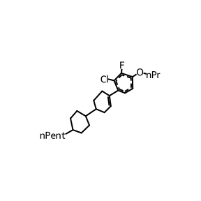 CCCCCC1CCC(C2CC=C(c3ccc(OCCC)c(F)c3Cl)CC2)CC1